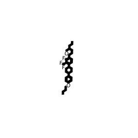 CCCCOc1ccc(C2CCC(c3ccc(C4CCC(CCC)CO4)c(F)c3C(F)F)CC2)cc1